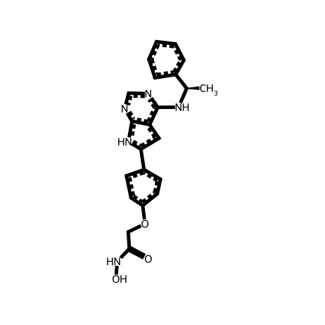 C[C@@H](Nc1ncnc2[nH]c(-c3ccc(OCC(=O)NO)cc3)cc12)c1ccccc1